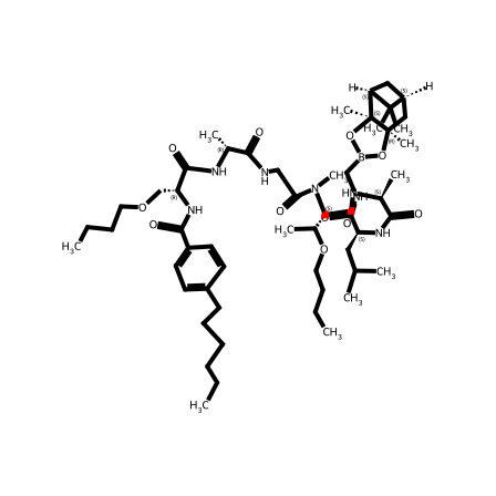 CCCCCCc1ccc(C(=O)N[C@H](COCCCC)C(=O)N[C@H](C)C(=O)NCC(=O)N(C)[C@H](C(=O)N[C@@H](C)C(=O)N[C@@H](CC(C)C)C(=O)NCB2O[C@]3(C)C[C@@H]4C[C@@H](C4(C)C)[C@]3(C)O2)C(C)OCCCC)cc1